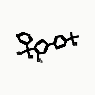 CC(C)(C#N)c1ccc(-c2ccc(C(O)(c3cncnc3)C(C)(C)C)c(C(F)(F)F)c2)cc1